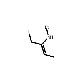 C/C=C(/CI)NCC